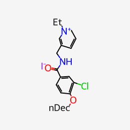 CCCCCCCCCCOc1ccc(C(=O)NCc2ccc[n+](CC)c2)cc1Cl.[I-]